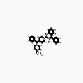 CN1CCN(C(c2ccccc2)C2CCN(C(=O)NC(c3ccccc3)c3ccccc3)CC2)CC1